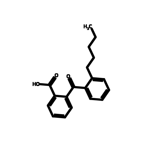 CCCCCc1ccccc1C(=O)c1ccccc1C(=O)O